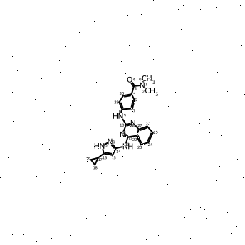 CN(C)C(=O)c1ccc(Nc2nc(Nc3cc(C4CC4)[nH]n3)c3ccccc3n2)cc1